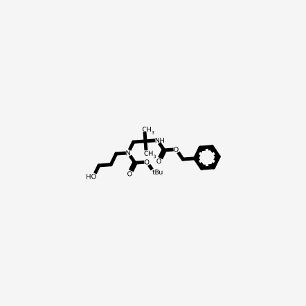 CC(C)(CN(CCCO)C(=O)OC(C)(C)C)NC(=O)OCc1ccccc1